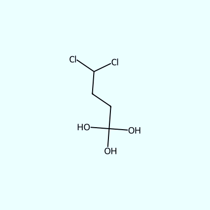 OC(O)(O)CCC(Cl)Cl